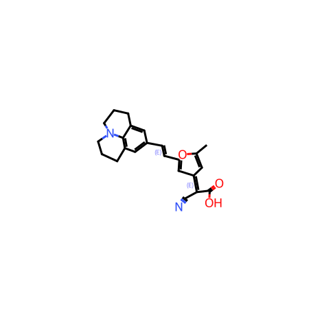 CC1=C/C(=C(/C#N)C(=O)O)C=C(/C=C/c2cc3c4c(c2)CCCN4CCC3)O1